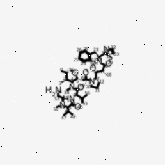 CC[C@H](C)C([C@@H](CC(=O)N1CCC[C@H]1[C@H](OC)[C@@H](C)C(=O)N[C@@H](Cc1ccccc1)c1nccs1)OC)N(C)C(=O)[C@@H](NC(=O)C(C(C)C)N(C)CCN)C(C)C